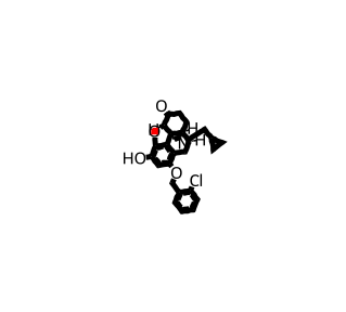 O=C1CC[C@H]2[C@H]3Cc4c(OCc5ccccc5Cl)cc(O)c5c4[C@@]2(CCN3CC2CC2)[C@H]1O5